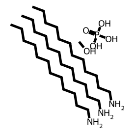 CCCCCCCCCCCCN.CCCCCCCCCCCCN.CCCCCCCCCCCCN.CO.O=P(O)(O)O